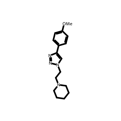 COc1ccc(-c2cn(CCN3CCCCC3)nn2)cc1